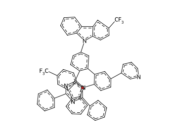 FC(F)(F)c1ccc2c(c1)c1ccccc1n2-c1ccc(-c2nc(-c3ccccc3)nc(-c3ccccc3)n2)c(-c2cc(-c3cccnc3)ccc2-n2c3ccccc3c3cc(C(F)(F)F)ccc32)c1